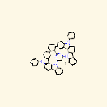 N#Cc1c(-n2c3ccccc3c3ccc4c(c5ccccc5n4-c4ccccc4)c32)nc(-c2ccccc2)nc1-n1c2ccccc2c2ccc3c(c4ccccc4n3-c3ccccc3)c21